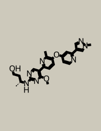 COc1nc(N[C@H](C)CCO)ncc1-c1ccc(Oc2ccnc(-c3cnn(C)c3)c2)c(C)n1